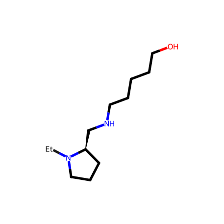 CCN1CCC[C@@H]1CNCCCCCO